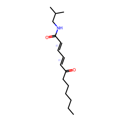 CCCCCCC(=O)/C=C/C=C/C(=O)NCC(C)C